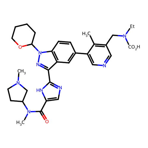 CCN(Cc1cncc(-c2ccc3c(c2)c(-c2ncc(C(=O)N(C)C4CCN(C)C4)[nH]2)nn3C2CCCCO2)c1C)C(=O)O